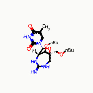 CCCCOC[C@]12CNC(=N)N[C@@H](C1OCCCC)[C@H](n1cc(C)c(=O)[nH]c1=O)O2